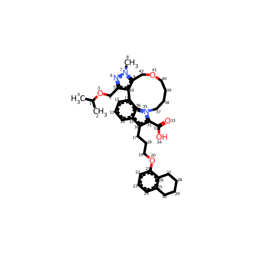 CC(C)OCc1nn(C)c2c1-c1cccc3c(CCCOc4cccc5c4CCCC5)c(C(=O)O)n(c13)CCCCOC2